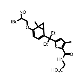 CCC(CC)(C1=CC=C(OCC(N=O)C(C)(C)C)C2(C)CC12)c1cc(C)c(C(=O)NCC(=O)O)s1